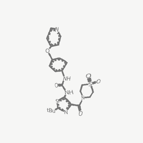 CC(C)(C)c1nc(C(=O)N2CCS(=O)(=O)CC2)c(NC(=O)Nc2ccc(Oc3ccncc3)cc2)s1